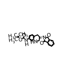 CC(C)(C)OC(=O)Nc1ccc2c(c1)NC[C@@H](CN1C(=O)c3ccccc3C1=O)C2